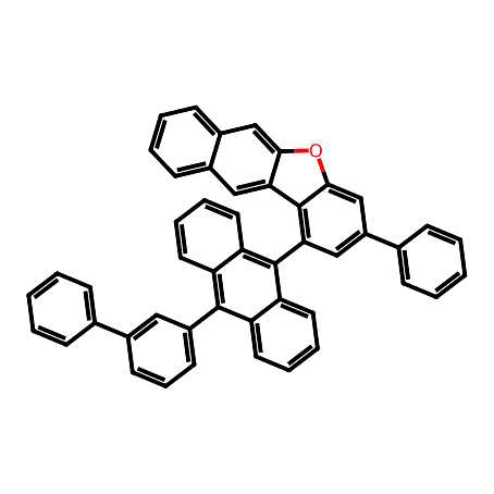 c1ccc(-c2cccc(-c3c4ccccc4c(-c4cc(-c5ccccc5)cc5oc6cc7ccccc7cc6c45)c4ccccc34)c2)cc1